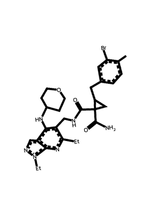 CCc1nc2c(cnn2CC)c(NC2CCOCC2)c1CNC(=O)C1(C(N)=O)CC1Cc1ccc(C)c(Br)c1